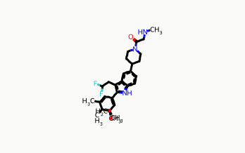 C=C(C)/C=C(\C=C(\C)C(C)CC)c1[nH]c2ccc(C3CCN(C(=O)CNC)CC3)cc2c1CC(F)F